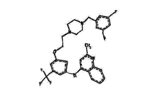 Cc1cc(Nc2cc(OCCN3CCN(Cc4cc(F)cc(F)c4)CC3)cc(C(F)(F)F)c2)c2ccccc2n1